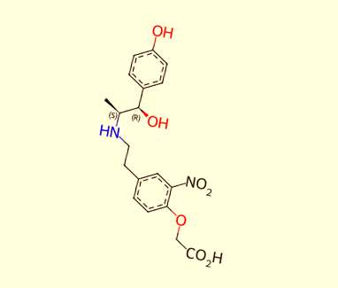 C[C@H](NCCc1ccc(OCC(=O)O)c([N+](=O)[O-])c1)[C@H](O)c1ccc(O)cc1